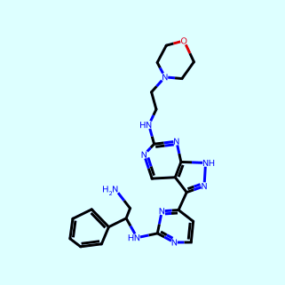 NCC(Nc1nccc(-c2n[nH]c3nc(NCCN4CCOCC4)ncc23)n1)c1ccccc1